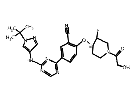 CC(C)(C)n1cc(Nc2ncnc(-c3ccc(O[C@H]4CCN(C(=O)CO)CC4F)c(C#N)c3)n2)cn1